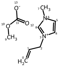 C=CC[n+]1ccn(C)c1.COC(=O)[O-]